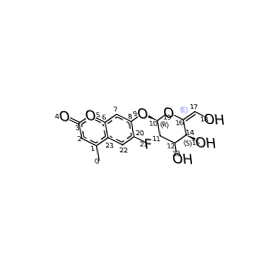 Cc1cc(=O)oc2cc(O[C@@H]3CC(O)[C@H](O)/C(=C\O)O3)c(F)cc12